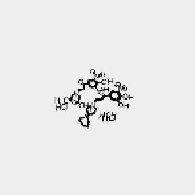 CC1CN(CCC(=O)c2cc(O)c(O)c([N+](=O)[O-])c2)CC(C)O1.Cl.Cl.Cl.O=C(CCN1CCC(N2CCCCC2)CC1)c1cc(O)c(O)c([N+](=O)[O-])c1